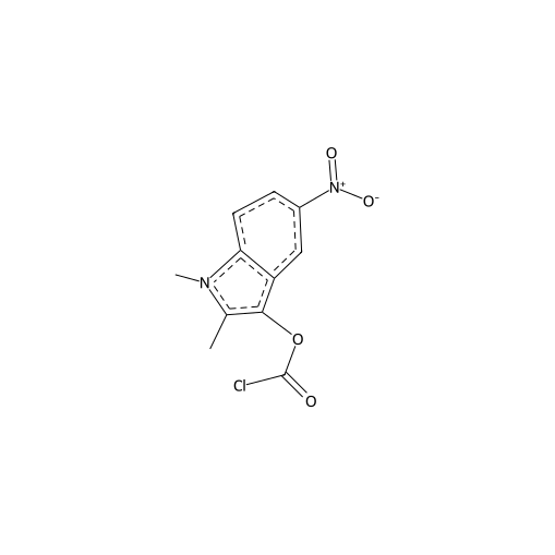 Cc1c(OC(=O)Cl)c2cc([N+](=O)[O-])ccc2n1C